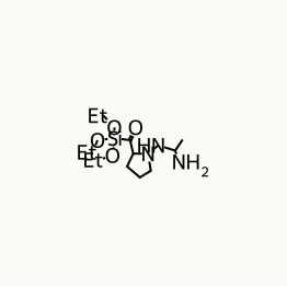 CCO[Si](OCC)(OCC)C(=O)C1CCCN1NC(C)N